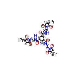 CC(C)C1CC(=O)N(CCNC(=O)[C@H]2C[C@@H](C(=O)NCCN3C(=O)CC(C(C)C)C3=O)C[C@@H](C(=O)NCCN3C(=O)CC(C(C)C)C3=O)C2)C1=O